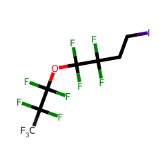 FC(F)(F)C(F)(F)C(F)(F)OC(F)(F)C(F)(F)CCI